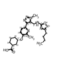 CCCCc1noc(NCc2c(-c3ccc(O[C@H]4CCC[C@H](C(=O)O)C4)c(C)n3)nnn2C)n1